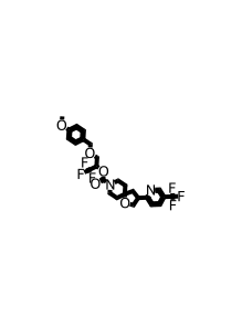 COc1ccc(COCC(OC(=O)N2CCC3(CC2)CC(c2ccc(C(F)(F)F)cn2)CO3)C(F)(F)F)cc1